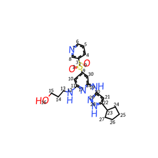 O=S(=O)(c1cccnc1)c1cc(NCCCO)nc(Nc2cc(C3CCCC3)[nH]n2)c1